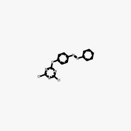 Clc1nc(Cl)nc(Oc2ccc(N=Nc3ccccc3)cc2)n1